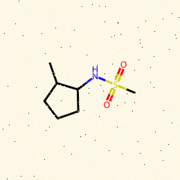 CC1CCCC1NS(C)(=O)=O